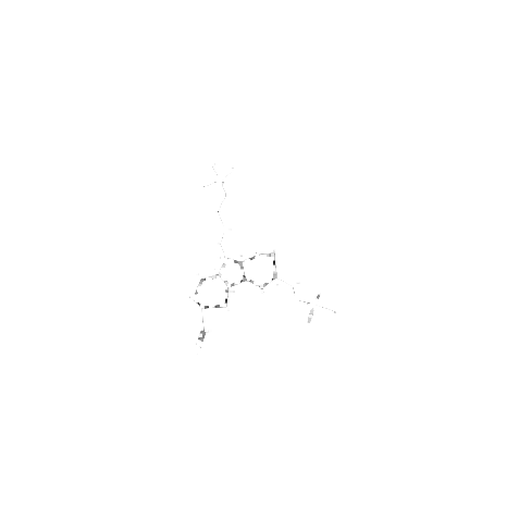 C[Si](C)(C)CCOCn1c2cnc(C#N)cc2c2cc(COS(C)(=O)=O)cnc21